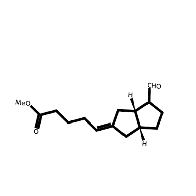 COC(=O)CCCC=C1C[C@H]2CCC(C=O)[C@H]2C1